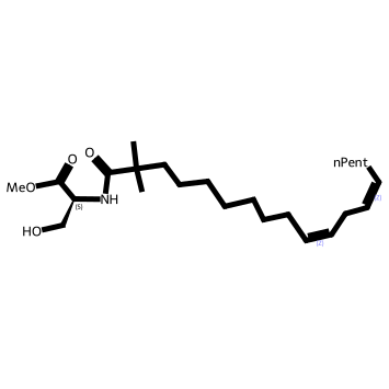 CCCCC/C=C\C/C=C\CCCCCCCC(C)(C)C(=O)N[C@@H](CO)C(=O)OC